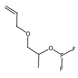 C=CCOCC(C)OP(F)F